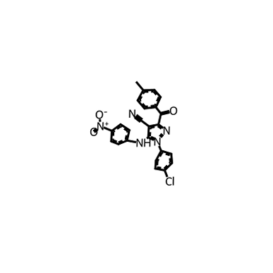 Cc1ccc(C(=O)c2nn(-c3ccc(Cl)cc3)c(Nc3ccc([N+](=O)[O-])cc3)c2C#N)cc1